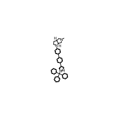 CN1C[C@H]2CCN(c3ccc(-c4ccc(-c5cnn(C(c6ccccc6)(c6ccccc6)c6ccccc6)c5)cc4)cc3)[C@H]2C1